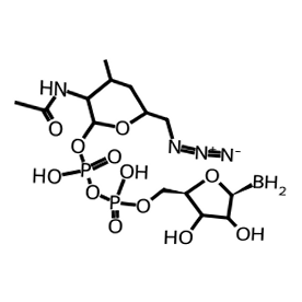 B[C@@H]1O[C@H](COP(=O)(O)OP(=O)(O)OC2OC(CN=[N+]=[N-])CC(C)C2NC(C)=O)C(O)C1O